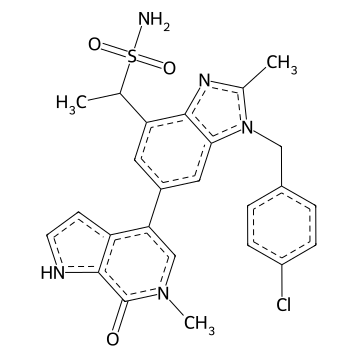 Cc1nc2c(C(C)S(N)(=O)=O)cc(-c3cn(C)c(=O)c4[nH]ccc34)cc2n1Cc1ccc(Cl)cc1